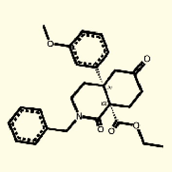 CCOC(=O)[C@@]12CCC(=O)C[C@]1(c1cccc(OC)c1)CCN(Cc1ccccc1)C2=O